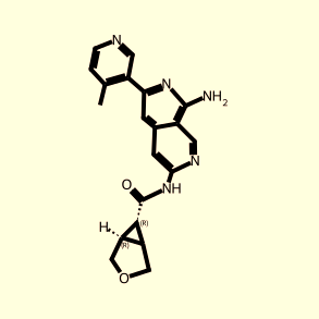 Cc1ccncc1-c1cc2cc(NC(=O)[C@@H]3C4COC[C@H]43)ncc2c(N)n1